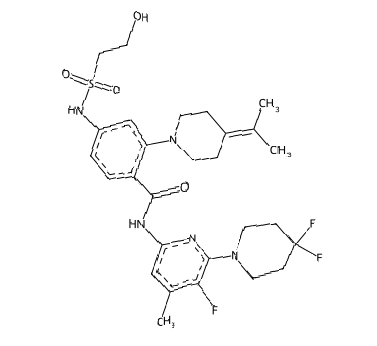 CC(C)=C1CCN(c2cc(NS(=O)(=O)CCO)ccc2C(=O)Nc2cc(C)c(F)c(N3CCC(F)(F)CC3)n2)CC1